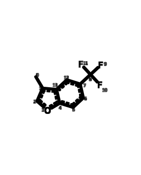 Cc1coc2ccc(C(F)(F)F)cc12